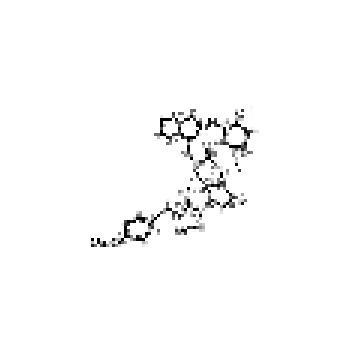 COc1ccc(CNC(=O)N(CC#N)N2CC(=O)N3[C@@H](Cc4ccc(O)c(N)c4)C(=O)N(Cc4cccc5ccccc45)C[C@@H]32)cc1